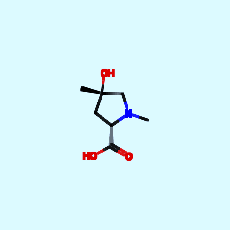 CN1C[C@@](C)(O)C[C@H]1C(=O)O